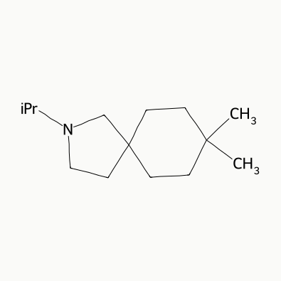 CC(C)N1CCC2(CCC(C)(C)CC2)C1